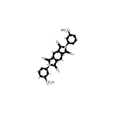 O=C(O)c1cccc(-n2c(=O)c3cc4c(=O)n(-c5cccc(C(=O)O)c5)c(=O)c4cc3c2=O)c1